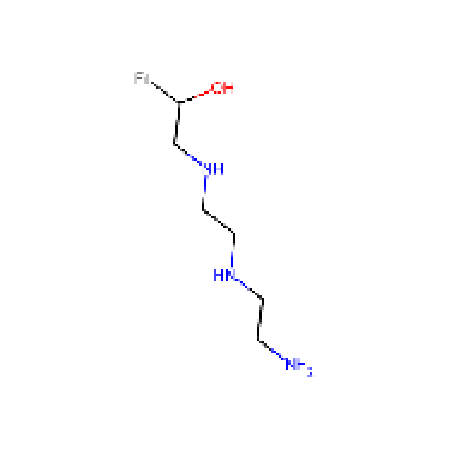 CCC(O)CNCCNCCN